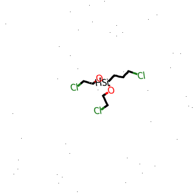 ClCCC[SiH](OCCCl)OCCCl